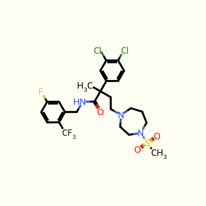 CC(CCN1CCCN(S(C)(=O)=O)CC1)(C(=O)NCc1cc(F)ccc1C(F)(F)F)c1ccc(Cl)c(Cl)c1